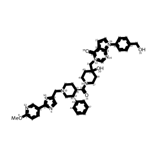 COc1ccc(-c2ncc(CN3CC[C@@H](C(=O)N4CCC(O)(Cn5cnc6c(ccn6-c6ccc(CO)cc6)c5=O)CC4)[C@H](c4ccccc4)C3)s2)cn1